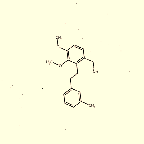 COc1ccc(CO)c(CCc2cccc(C)c2)c1OC